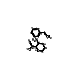 C=Cc1ccccn1.NC1OCCOC1[N+](=O)[O-]